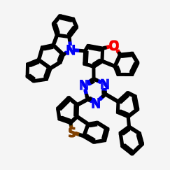 c1ccc(-c2cccc(-c3nc(-c4cc(-n5c6ccccc6c6cc7ccccc7cc65)cc5oc6ccccc6c45)nc(-c4cccc5sc6ccccc6c45)n3)c2)cc1